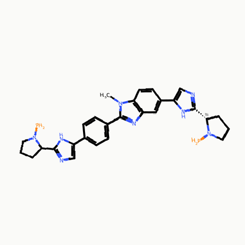 Cn1c(-c2ccc(-c3cnc(C4CCCN4P)[nH]3)cc2)nc2cc(-c3cnc([C@@H]4CCCN4P)[nH]3)ccc21